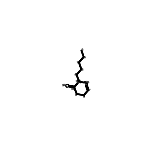 CCCCCN1N=CCCC1=O